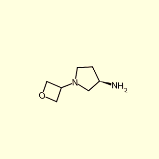 N[C@@H]1CCN(C2COC2)C1